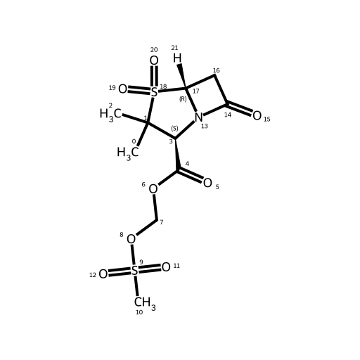 CC1(C)[C@H](C(=O)OCOS(C)(=O)=O)N2C(=O)C[C@H]2S1(=O)=O